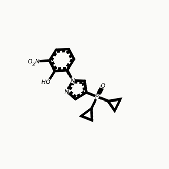 O=[N+]([O-])c1cccc(-n2cc(P(=O)(C3CC3)C3CC3)cn2)c1O